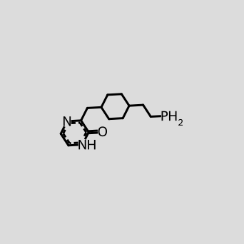 O=c1[nH]ccnc1CC1CCC(CCP)CC1